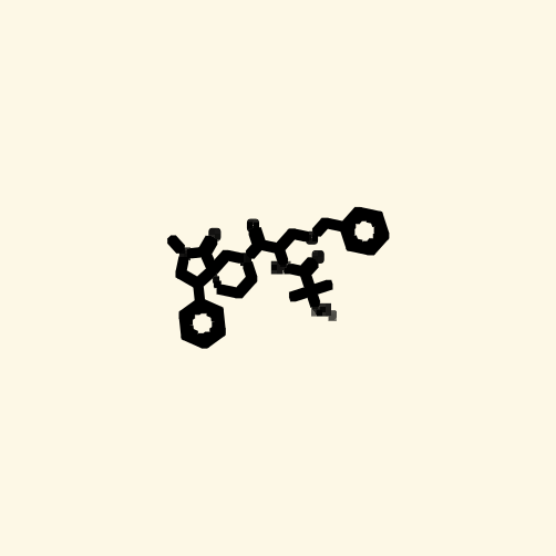 CN1CC(c2ccccc2)[C@@]2(CCCN(C(=O)C(COCc3ccccc3)NC(=O)C(C)(C)N)C2)C1=O